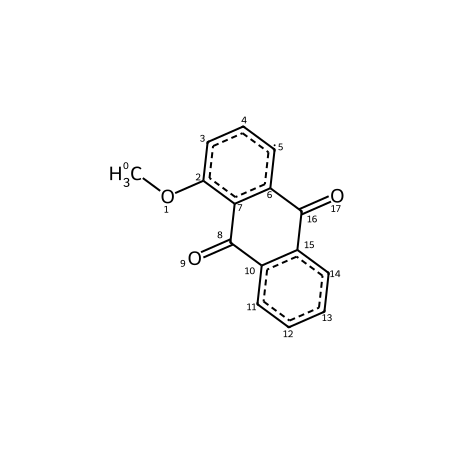 COc1cc[c]c2c1C(=O)c1ccccc1C2=O